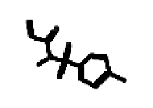 C=CC(=O)N(C)S(=O)(=O)c1ccc(C)cc1